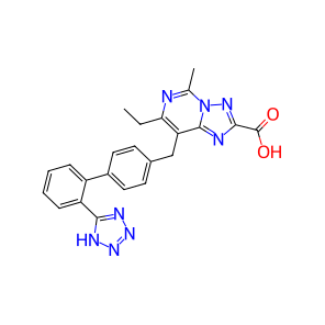 CCc1nc(C)n2nc(C(=O)O)nc2c1Cc1ccc(-c2ccccc2-c2nnn[nH]2)cc1